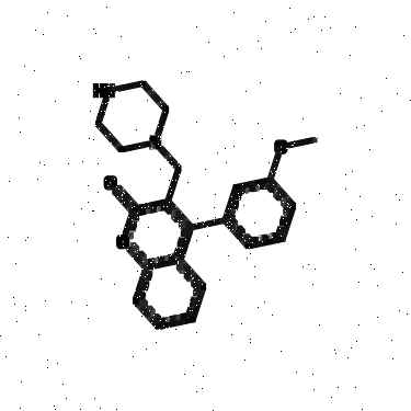 COc1cccc(-c2c(CN3CCNCC3)c(=O)oc3ccccc23)c1